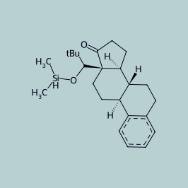 C[SiH](C)OC(C(C)(C)C)[C@]12CC[C@@H]3c4ccccc4CC[C@H]3[C@@H]1CCC2=O